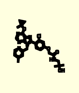 Cc1ccnc(Cn2c(-c3ccc(OCC(=O)NCC(C)(C)O)cc3Cl)nc3c(OC4(C)CC4)ncnc32)c1